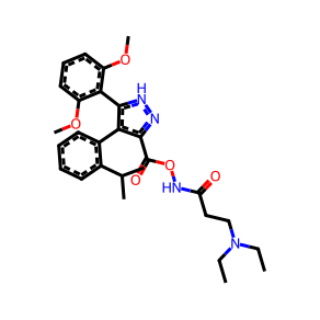 CCN(CC)CCC(=O)NOC(=O)c1n[nH]c(-c2c(OC)cccc2OC)c1-c1ccccc1C(C)C